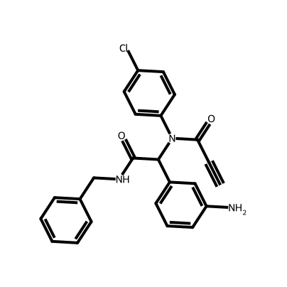 C#CC(=O)N(c1ccc(Cl)cc1)C(C(=O)NCc1ccccc1)c1cccc(N)c1